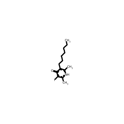 CCCCCCCc1c(C)[nH]c(C)c(I)c1=O